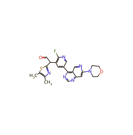 Cc1nc(C(C=O)c2cc(-c3ncnc4cc(N5CCOCC5)ncc34)cnc2F)sc1C